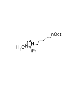 CCCCCCCCCCCCCn1cc[n+](C)c1C(C)C